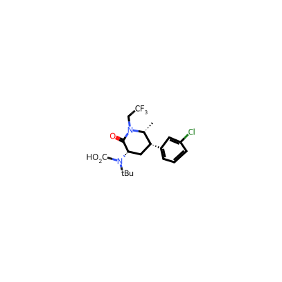 C[C@@H]1[C@H](c2cccc(Cl)c2)C[C@H](N(C(=O)O)C(C)(C)C)C(=O)N1CC(F)(F)F